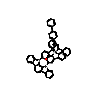 c1ccc(-c2ccc(-c3cc(-c4ccccc4)nc(-c4ccc(-n5c6ccccc6c6ccc7c8ccccc8n(-c8ccc9c(c8)c8ccccc8n9-c8ccccc8)c7c65)cc4)n3)cc2)cc1